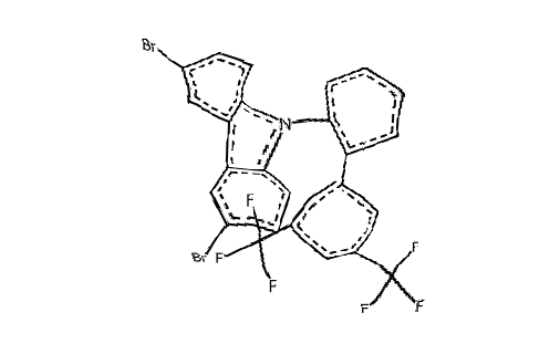 FC(F)(F)c1cc(-c2ccccc2-n2c3ccc(Br)cc3c3cc(Br)ccc32)cc(C(F)(F)F)c1